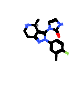 Cc1cc(-n2nc3c(c2-n2cc[nH]c2=O)[C@H](C)NCC3)ccc1F